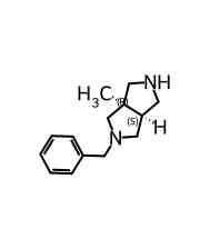 C[C@]12CNC[C@H]1CN(Cc1ccccc1)C2